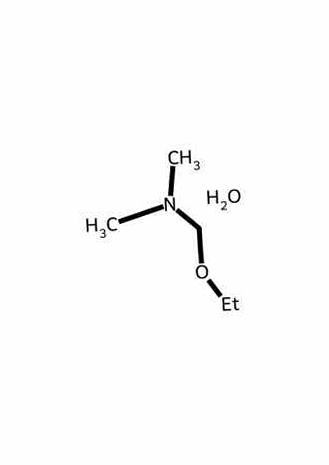 CCOCN(C)C.O